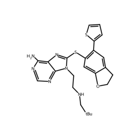 CC(C)(C)CNCCn1c(Sc2cc3c(cc2-c2cccs2)CCO3)nc2c(N)ncnc21